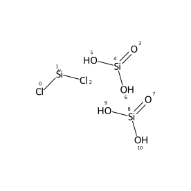 Cl[Si]Cl.O=[Si](O)O.O=[Si](O)O